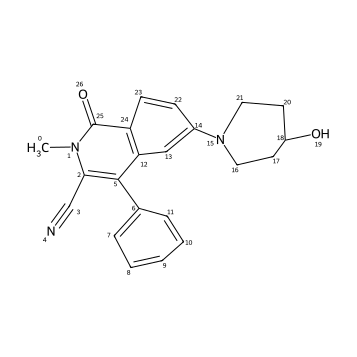 Cn1c(C#N)c(-c2ccccc2)c2cc(N3CCC(O)CC3)ccc2c1=O